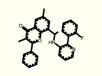 Cc1cc(C(C)Nc2cccnc2-c2ccccc2F)c2oc(-c3ccccc3)c(C)c(=O)c2c1